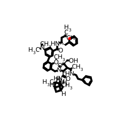 COc1c(CN2O[C@@H](CO)C(C(C)NCCc3ccccc3)[C@H]2C(=O)N[C@H]2C[C@H]3C[C@@H]([C@@H]2C)C3(C)C)cccc1-c1cc(C(=O)N[C@@H](Cc2ccccc2)CC(C)C)cc(N(C)C)c1